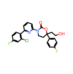 O=C1OC(CCO)(c2ccc(F)cc2)CCN1c1cccc(-c2ccc(F)cc2Cl)n1